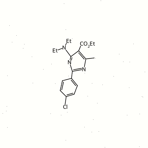 CCOC(=O)c1c(C)nc(-c2ccc(Cl)cc2)nc1N(CC)CC